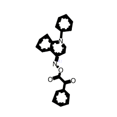 O=C(O/N=c1\ccn(-c2ccccc2)c2ccccc12)C(=O)c1ccccc1